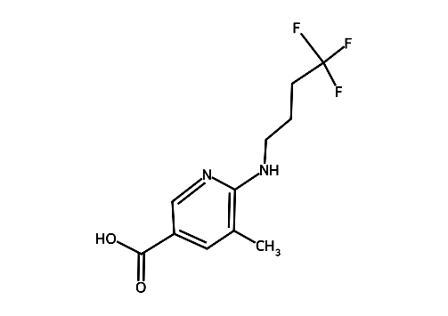 Cc1cc(C(=O)O)cnc1NCCCC(F)(F)F